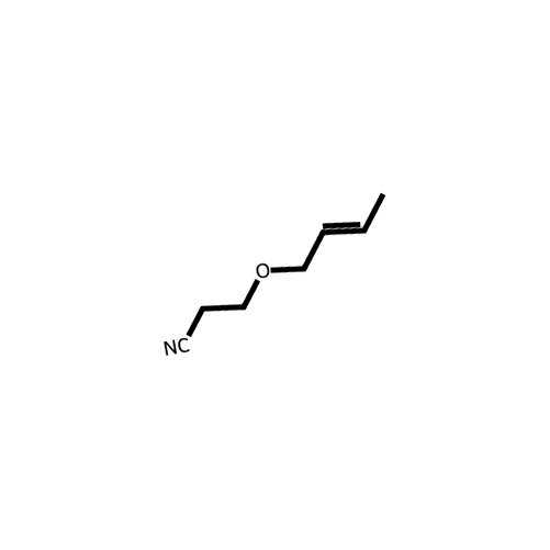 C/C=C/COCCC#N